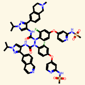 CC(C)n1cc(NC(=O)N(c2ccc(Oc3ccnc(NS(C)(=O)=O)c3)cc2F)N(C(=O)Nc2cn(C(C)C)nc2-c2ccc3cnccc3c2)c2ccc(Oc3ccnc(NS(C)(=O)=O)c3)cc2F)c(-c2ccc3c(c2)CCN(C)C3)n1